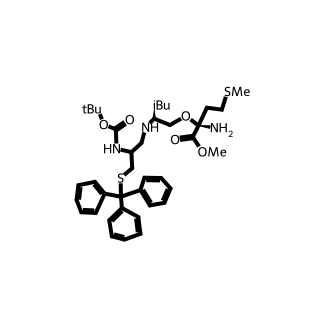 CC[C@H](C)C(CO[C@](N)(CCSC)C(=O)OC)NCC(CSC(c1ccccc1)(c1ccccc1)c1ccccc1)NC(=O)OC(C)(C)C